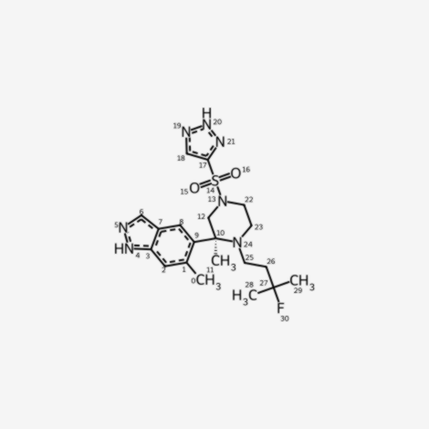 Cc1cc2[nH]ncc2cc1[C@@]1(C)CN(S(=O)(=O)c2cn[nH]n2)CCN1CCC(C)(C)F